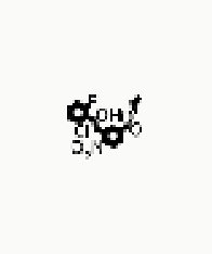 C=CCOC(=O)c1ccc([N+](=O)[O-])c(CC(O)c2c(F)cccc2Cl)c1